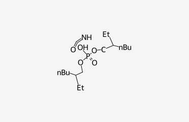 CCCCC(CC)COP(=O)(O)OCC(CC)CCCC.N=C=O